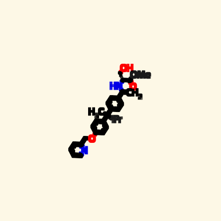 C=C(N[C@H](CO)C(=O)OC)c1ccc(C(C)(c2ccc(OCc3ccccn3)cc2)C(C)C)cc1